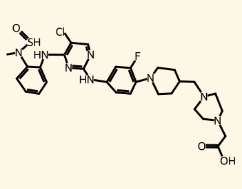 CN([SH]=O)c1ccccc1Nc1nc(Nc2ccc(N3CCC(CN4CCN(CC(=O)O)CC4)CC3)c(F)c2)ncc1Cl